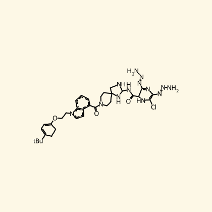 CC(C)(C)C1=CC=C(OCCn2ccc3c(C(=O)N4CCC5(CC4)CNC(NC(=O)C4NC(Cl)=C(N=NN)N=C4N=NN)N5)cccc32)CC1